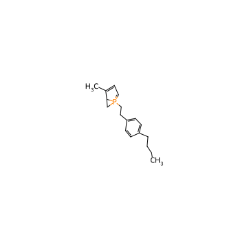 CCCCc1ccc(CCP23=CC=C(C)C2C3)cc1